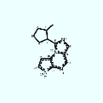 CC1CCCC1c1ncc2cnc3[nH]ccc3n12